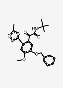 COc1cc(-c2noc(C)n2)c(C(=O)C(=O)NC(C)(C)C)cc1OCc1ccccc1